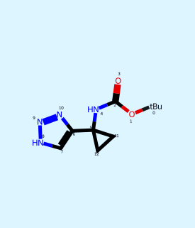 CC(C)(C)OC(=O)NC1(c2c[nH]nn2)CC1